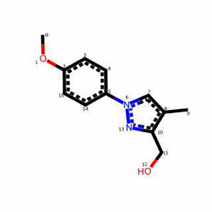 COc1ccc(-n2cc(C)c(CO)n2)cc1